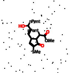 CCCCCC(O)C=CC1C=C(SC)C(=O)C1C(CCCCC)C(=O)OC